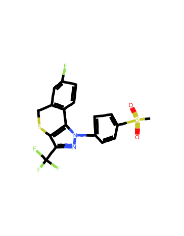 CS(=O)(=O)c1ccc(-n2nc(C(F)(F)F)c3c2-c2ccc(F)cc2CS3)cc1